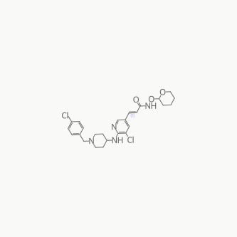 O=C(/C=C/c1cnc(NC2CCN(Cc3ccc(Cl)cc3)CC2)c(Cl)c1)NOC1CCCCO1